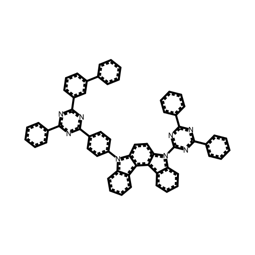 c1ccc(-c2cccc(-c3nc(-c4ccccc4)nc(-c4ccc(-n5c6ccccc6c6c7c8ccccc8n(-c8nc(-c9ccccc9)nc(-c9ccccc9)n8)c7ccc65)cc4)n3)c2)cc1